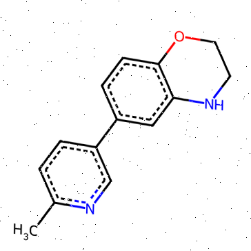 Cc1ccc(-c2ccc3c(c2)NCCO3)cn1